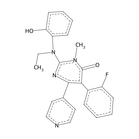 CCN(c1ccccc1O)c1nc(-c2ccncc2)c(-c2ccccc2F)c(=O)n1C